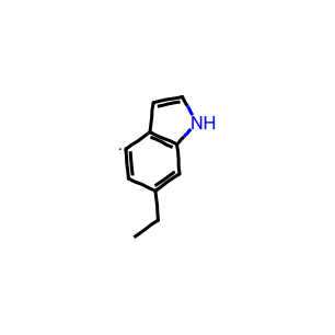 CCc1c[c]c2cc[nH]c2c1